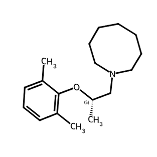 Cc1cccc(C)c1O[C@@H](C)CN1CCCCCCC1